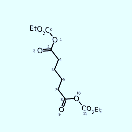 CCOC(=O)OC(=O)CCCCC(=O)OC(=O)OCC